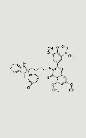 COc1cc(OC)c2c(=O)c(OCCCCC3(c4cccc(Cl)c4)Nc4ccccc4N3)c(-c3cc(OC)c(OC)c(OC)c3)oc2c1